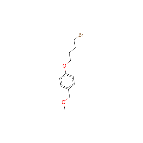 COCc1ccc(OCCCCBr)cc1